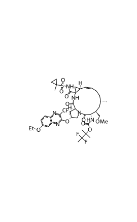 CCOc1ccc2nc(C(F)(F)F)c(O[C@@H]3C[C@H]4C(=O)N[C@]5(C(=O)NS(=O)(=O)C6(C)CC6)C[C@H]5/C=C\CC[C@H](C)C[C@@H](COC)[C@H](NC(=O)OC(C)(C)C(C)(F)F)C(=O)N4C3)nc2c1